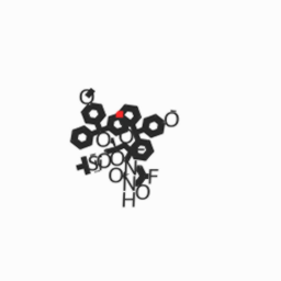 COc1ccc(C(OC[C@]2(CO[Si](C)(C)C(C)(C)C)O[C@@H](n3cc(F)c(=O)[nH]c3=O)[C@@H](F)[C@@H]2OC(c2ccccc2)(c2ccccc2)c2ccc(OC)cc2)(c2ccccc2)c2ccccc2)cc1